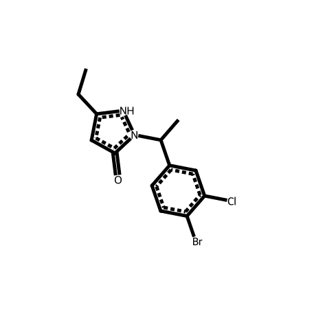 CCc1cc(=O)n(C(C)c2ccc(Br)c(Cl)c2)[nH]1